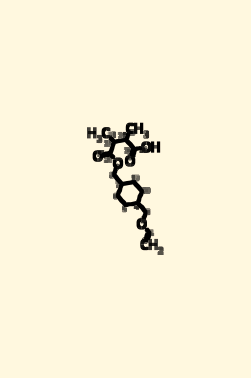 C=COCC1CCC(COC(=O)C(C)C(C)C(=O)O)CC1